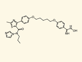 CCCN(C(=O)c1sc(C)nc1-c1ccc(OCCCCCOc2ccc(C(=N)NO)cc2)cc1)n1ccnc1